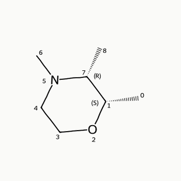 C[C@@H]1OCCN(C)[C@@H]1C